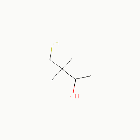 CC(O)C(C)(C)CS